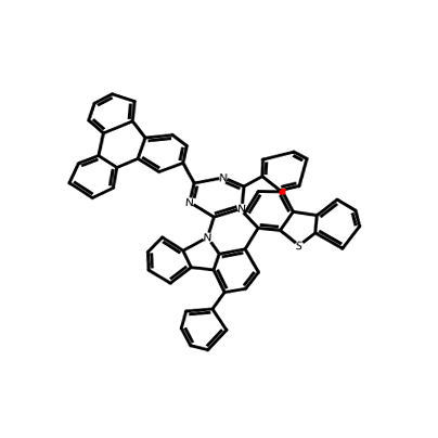 c1ccc(-c2nc(-c3ccc4c5ccccc5c5ccccc5c4c3)nc(-n3c4ccccc4c4c(-c5ccccc5)ccc(-c5cccc6c5sc5ccccc56)c43)n2)cc1